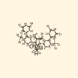 CCC1=Cc2c(ccc(C(C)(C)C)c2-c2cc(C)cc(C)c2)[CH]1[Zr]([Cl])([Cl])([CH]1C(CC)=Cc2c1ccc(C(C)(C)C)c2-c1cc(C)cc(C)c1)[SiH](C)C